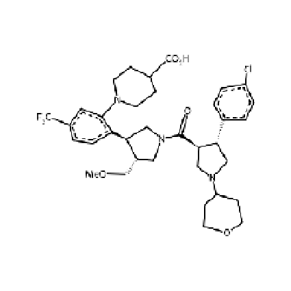 COC[C@H]1CN(C(=O)[C@@H]2CN(C3CCOCC3)C[C@H]2c2ccc(Cl)cc2)C[C@@H]1c1ccc(C(F)(F)F)cc1N1CCC(C(=O)O)CC1